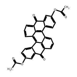 CC(=O)Oc1ccc2c(c1)c(=O)c1cccc3c1c2c1cccc2c(=O)c4cc(OC(C)=O)ccc4c3c21